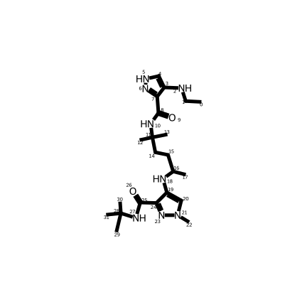 CCNc1c[nH]nc1C(=O)NC(C)(C)CCC(C)Nc1cn(C)nc1C(=O)NC(C)(C)C